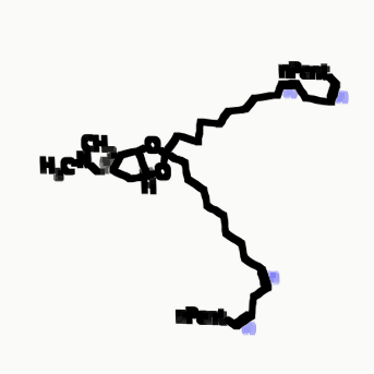 CCCCC/C=C\C/C=C\CCCCCCCCC1(CCCCCCCC/C=C\C/C=C\CCCCC)OC2C[C@@H](CN(C)C)C[C@H]2O1